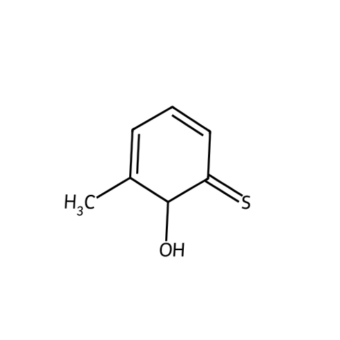 CC1=CC=CC(=S)C1O